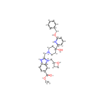 COC(=O)c1ccc2nc(CN3CCC(O)(c4cccc(OCc5ccccc5)n4)CC3)n(CC3CCO3)c2c1